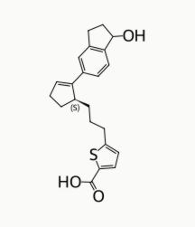 O=C(O)c1ccc(CCC[C@H]2CCC=C2c2ccc3c(c2)CCC3O)s1